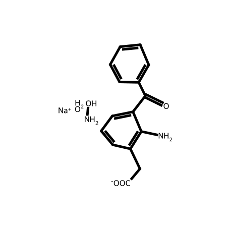 NO.Nc1c(CC(=O)[O-])cccc1C(=O)c1ccccc1.O.[Na+]